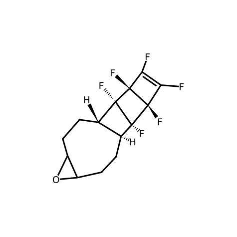 FC1=C(F)[C@]2(F)[C@@]1(F)[C@@]1(F)[C@H]3CCC4OC4CC[C@@H]3[C@@]21F